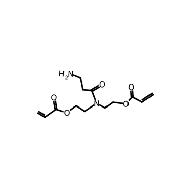 C=CC(=O)OCCN(CCOC(=O)C=C)C(=O)CCN